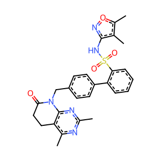 Cc1nc(C)c2c(n1)N(Cc1ccc(-c3ccccc3S(=O)(=O)Nc3noc(C)c3C)cc1)C(=O)CC2